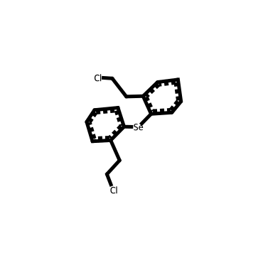 ClCCc1ccccc1[Se]c1ccccc1CCCl